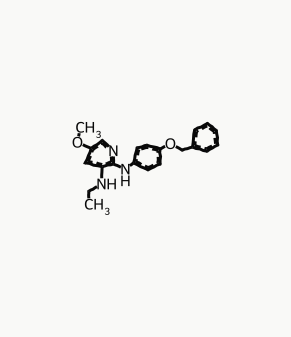 CCNc1cc(OC)cnc1Nc1ccc(OCc2ccccc2)cc1